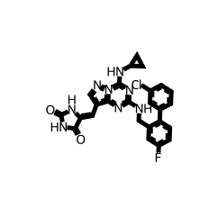 O=C1NC(=O)/C(=C/c2cnn3c(NC4CC4)nc(NCc4cc(F)ccc4-c4cccc(Cl)c4)nc23)N1